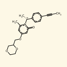 CC#Cc1ccc([C@@H](C)n2c(C)cc(OCC3COCCO3)cc2=O)cc1